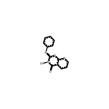 CCn1c(=O)c2cccnc2s/c1=N\c1ccccc1